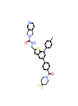 Cc1ccc(-c2cc(-c3ccc(C(=O)N4CCC(F)(F)CC4)cc3)cc3cc(CNC(=O)N4Cc5ccncc5C4)sc23)cc1